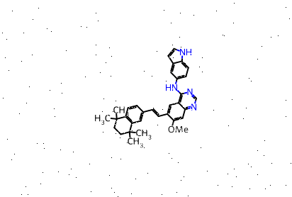 COc1cc2ncnc(Nc3ccc4[nH]ccc4c3)c2cc1C=Cc1ccc2c(c1)C(C)(C)CCC2(C)C